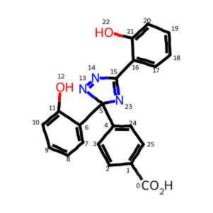 O=C(O)c1ccc(C2(c3ccccc3O)N=NC(c3ccccc3O)=N2)cc1